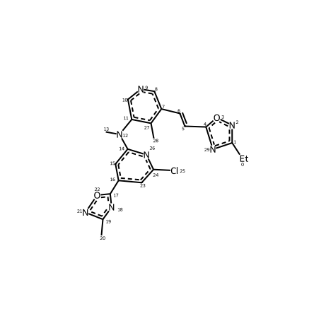 CCc1noc(/C=C/c2cncc(N(C)c3cc(-c4nc(C)no4)cc(Cl)n3)c2C)n1